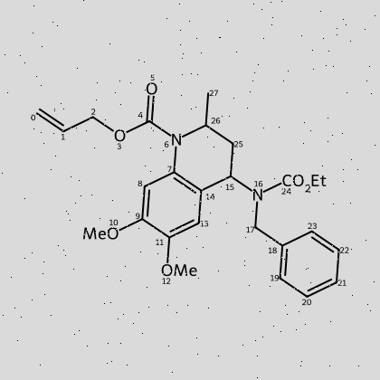 C=CCOC(=O)N1c2cc(OC)c(OC)cc2C(N(Cc2ccccc2)C(=O)OCC)CC1C